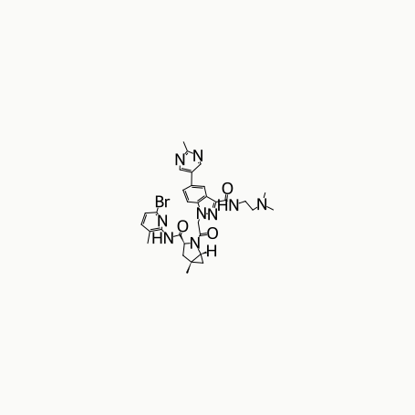 Cc1ncc(-c2ccc3c(c2)c(C(=O)NCCN(C)C)nn3CC(=O)N2[C@H](C(=O)Nc3nc(Br)ccc3C)C[C@@]3(C)C[C@@H]23)cn1